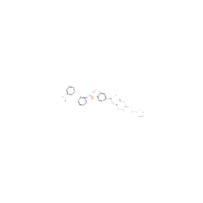 CCN(CC)c1cccc(Oc2ccccc2NS(=O)(=O)c2ccc(C(=O)NC3CCC(CCN4CCCC4)CC3)cc2)c1